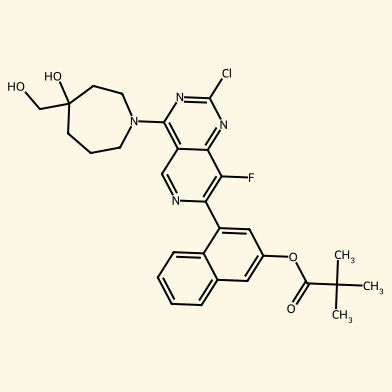 CC(C)(C)C(=O)Oc1cc(-c2ncc3c(N4CCCC(O)(CO)CC4)nc(Cl)nc3c2F)c2ccccc2c1